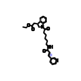 CCOC(=O)CC1CN(C(=O)CCCCCNC(=O)/C=C/c2cccnc2)c2ccccc21